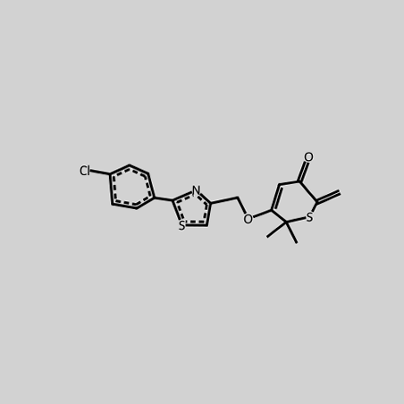 C=C1SC(C)(C)C(OCc2csc(-c3ccc(Cl)cc3)n2)=CC1=O